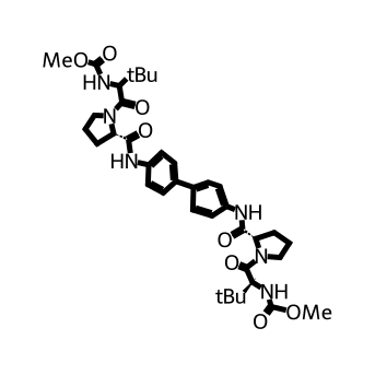 COC(=O)NC(C(=O)N1CCC[C@H]1C(=O)Nc1ccc(-c2ccc(NC(=O)[C@@H]3CCCN3C(=O)[C@@H](NC(=O)OC)C(C)(C)C)cc2)cc1)C(C)(C)C